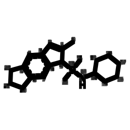 CC1=Cc2cc3c(cc2C1[Si](C)(C)NC1CCCCC1)CCC3